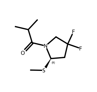 CS[C@@H]1CC(F)(F)CN1C(=O)C(C)C